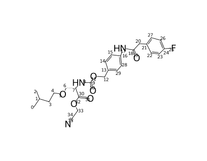 CC(C)CCOC[C@H](NC(=O)OCc1ccc(NC(=O)Cc2ccc(F)cc2)cc1)C(=O)OCC#N